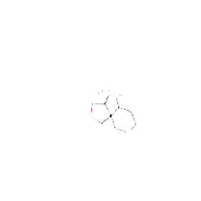 CC1CCOCC12COCC2C